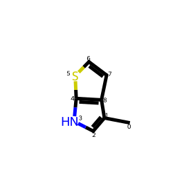 Cc1c[nH]c2sccc12